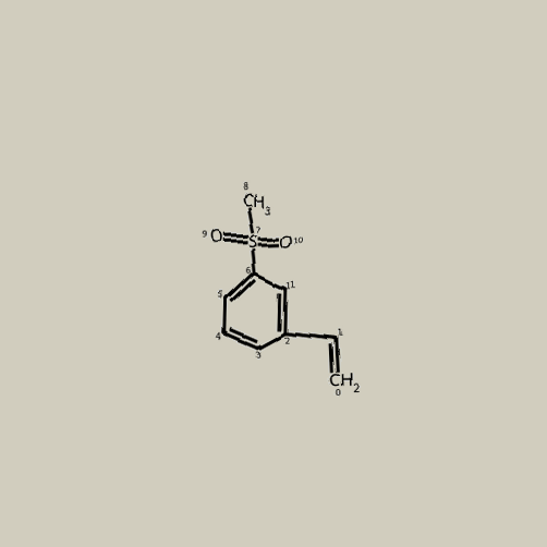 C=Cc1cccc(S(C)(=O)=O)c1